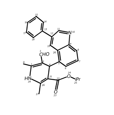 CC1=C(C=O)C(c2cccc3ncc(-c4ccccc4)cc23)C(C(=O)OC(C)C)=C(C)N1